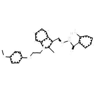 COc1ccc(OCCn2c(C)c(/C=N/NC(=O)c3ccccc3N)c3ccccc32)cc1